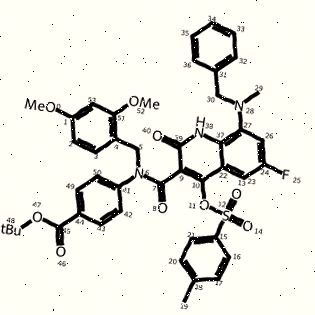 COc1ccc(CN(C(=O)c2c(OS(=O)(=O)c3ccc(C)cc3)c3cc(F)cc(N(C)Cc4ccccc4)c3[nH]c2=O)c2ccc(C(=O)OC(C)(C)C)cc2)c(OC)c1